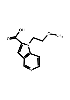 COCCn1c(C(=O)O)cc2cnccc21